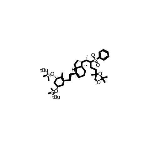 CC1=C(C=CC2=CCC[C@]3(C)[C@@H]([C@H](C)C(CCC4(C)COC(C)(C)O4)S(=O)(=O)c4ccccc4)CC[C@@H]23)C[C@@H](O[Si](C)(C)C(C)(C)C)C[C@@H]1O[Si](C)(C)C(C)(C)C